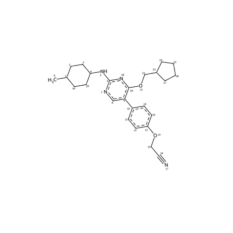 CC1CCC(Nc2ncc(-c3ccc(OCC#N)cc3)c(OCC3CCCC3)n2)CC1